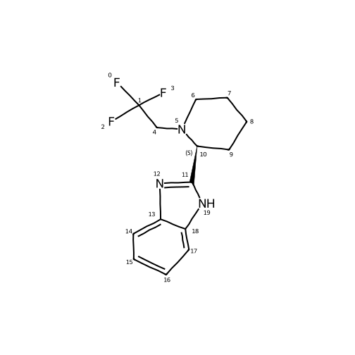 FC(F)(F)CN1CCCC[C@H]1c1nc2ccccc2[nH]1